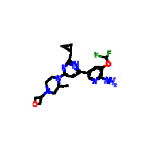 CC1CN(C2COC2)CCN1c1cc(-c2cnc(N)c(OC(F)F)c2)nc(C2CC2)n1